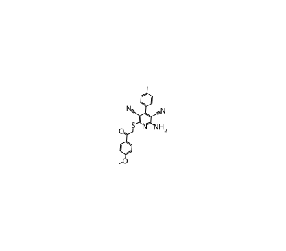 COc1ccc(C(=O)CSc2nc(N)c(C#N)c(-c3ccc(C)cc3)c2C#N)cc1